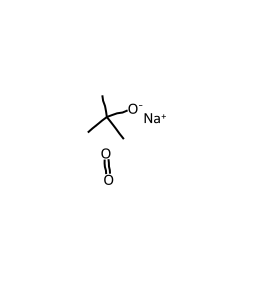 CC(C)(C)[O-].O=O.[Na+]